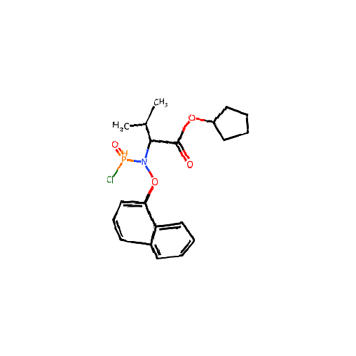 CC(C)C(C(=O)OC1CCCC1)N(Oc1cccc2ccccc12)[PH](=O)Cl